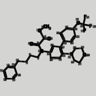 COC(=O)C(=O)N(CCCCc1ccccc1)c1ccc(N2CCOCC2)c(-c2ccc(OC(F)(F)F)cc2)c1